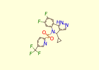 O=S(=O)(c1ccc(C(F)(F)F)cn1)N1c2cc(F)c(F)cc2-c2[nH]ncc2C1C1CC1